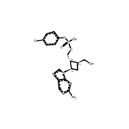 Nc1ncc2ncn([C@@H]3C[C@H](CO)[C@H]3COP(=O)(O)Oc3ccc(Cl)cc3)c2n1